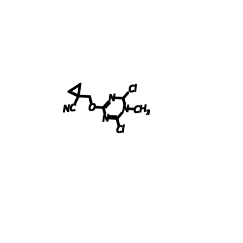 CN1C(Cl)=NC(OCC2(C#N)CC2)=NC1Cl